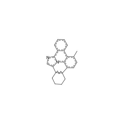 Cc1ccc2c3c1c1ccccc1c1ncc(n13)C13CCCCC21CCC3